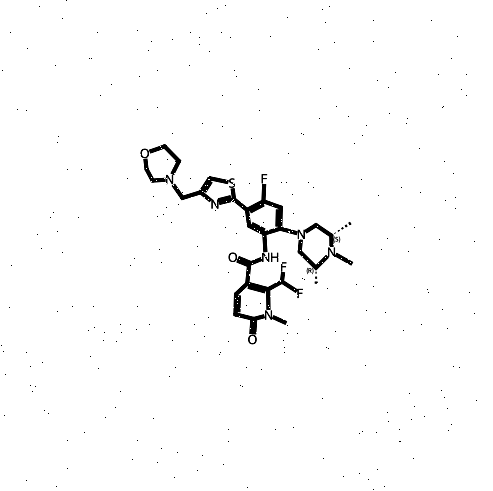 C[C@@H]1CN(c2cc(F)c(-c3nc(CN4CCOCC4)cs3)cc2NC(=O)c2ccc(=O)n(C)c2C(F)F)C[C@H](C)N1C